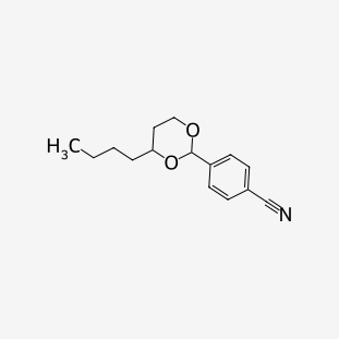 CCCCC1CCOC(c2ccc(C#N)cc2)O1